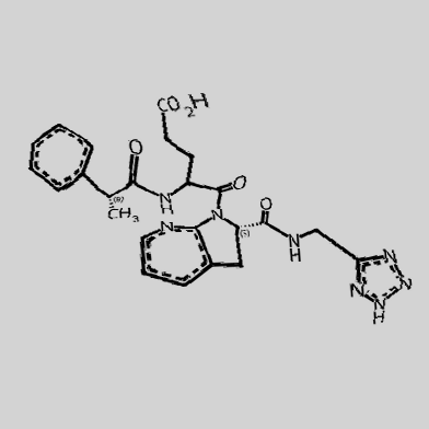 C[C@@H](C(=O)NC(CCC(=O)O)C(=O)N1c2ncccc2C[C@H]1C(=O)NCc1nn[nH]n1)c1ccccc1